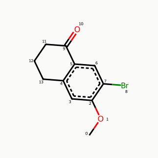 COc1cc2c(cc1Br)C(=O)CCC2